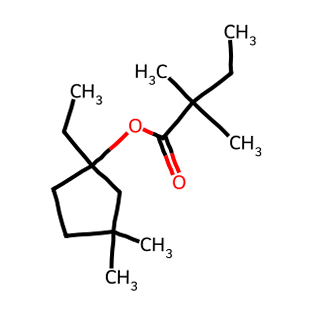 CCC1(OC(=O)C(C)(C)CC)CCC(C)(C)C1